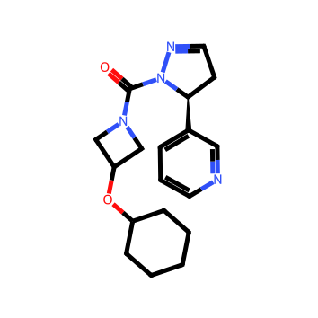 O=C(N1CC(OC2CCCCC2)C1)N1N=CC[C@H]1c1cccnc1